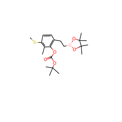 CSc1ccc(CCB2OC(C)(C)C(C)(C)O2)c(OC(=O)OC(C)(C)C)c1C